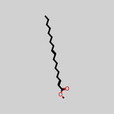 CCCCCCCCC=CCCCCC/C=C/C(=O)OC